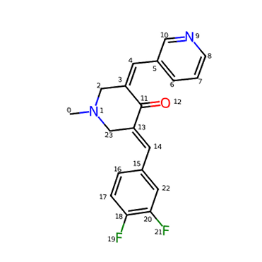 CN1CC(=Cc2cccnc2)C(=O)/C(=C/c2ccc(F)c(F)c2)C1